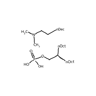 CCCCCCCCC(CCCCCCCC)COP(=O)(O)O.CCCCCCCCCCCCN(C)C